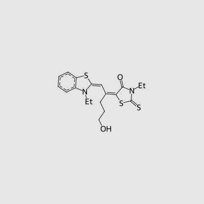 CCN1C(=O)/C(=C(\C=C2\Sc3ccccc3N2CC)CCCO)SC1=S